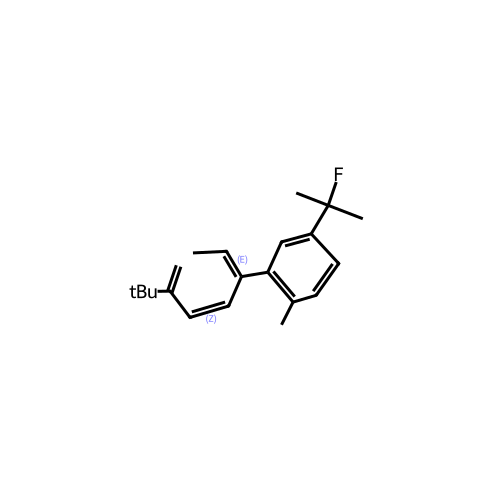 C=C(/C=C\C(=C/C)c1cc(C(C)(C)F)ccc1C)C(C)(C)C